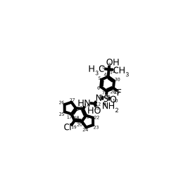 CC(C)(O)c1ccc([S@@](N)(=O)=NC(O)Nc2c3c(c(Cl)c4c2CCC4)CCC3)c(F)c1